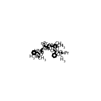 CCCC(NC(=O)C1CC(C)(C)CN1C(=O)[C@@H](NC(=O)O[C@H](C)C(C)C)C1CCCCC1)C(=O)C(=O)NCC(=O)NC(C(=O)N(C)C)c1ccccc1